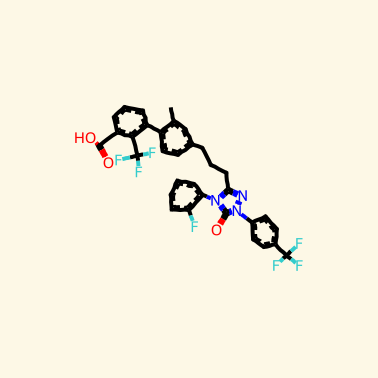 Cc1cc(CCCc2nn(-c3ccc(C(F)(F)F)cc3)c(=O)n2-c2ccccc2F)ccc1-c1cccc(C(=O)O)c1C(F)(F)F